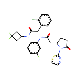 O=C(NC1CC(F)(F)C1)[C@H](c1ccccc1Cl)N(C(=O)C[C@@H]1CCC(=O)N1c1nccs1)c1cccc(F)c1